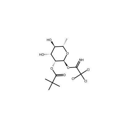 C[C@@H]1O[C@@H](OC(=N)C(Cl)(Cl)Cl)[C@H](OC(=O)C(C)(C)C)[C@H](O)[C@H]1O